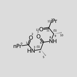 CCCC(=O)N[C@@H](C)C(=O)N[C@@H](C)C(=O)C(C)C